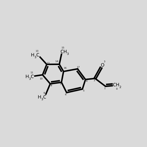 C=CC(=O)c1ccc2c(C)c(C)c(C)c(C)c2c1